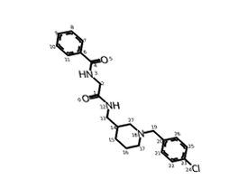 O=C(CNC(=O)c1ccccc1)NCC1CCCN(Cc2ccc(Cl)cc2)C1